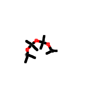 C[Si](C)O[Si](C)(C)O[Si](C)(C)O[Si](C)C